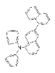 c1ccc(N(c2ccccc2)c2cccc3cc(-c4cccc5ccccc45)ccc23)cc1